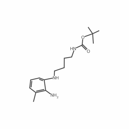 Cc1cccc(NCCCCNC(=O)OC(C)(C)C)c1N